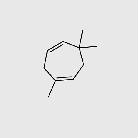 CC1=CCC(C)(C)C=CC1